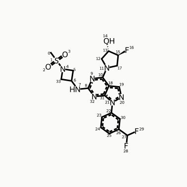 CS(=O)(=O)N1CC(Nc2nc(N3C[C@H](O)[C@@H](F)C3)c3cnn(-c4cccc(C(F)F)c4)c3n2)C1